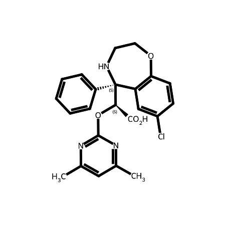 Cc1cc(C)nc(O[C@H](C(=O)O)[C@@]2(c3ccccc3)NCCOc3ccc(Cl)cc32)n1